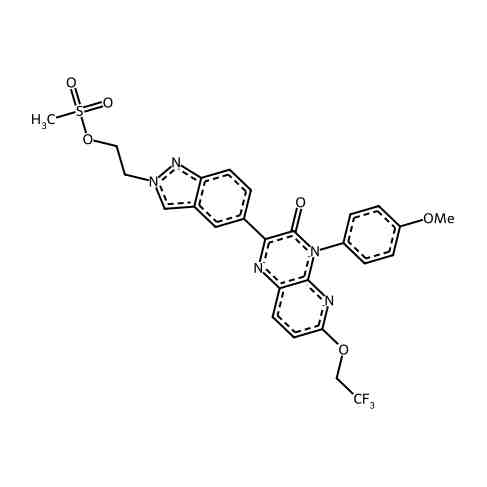 COc1ccc(-n2c(=O)c(-c3ccc4nn(CCOS(C)(=O)=O)cc4c3)nc3ccc(OCC(F)(F)F)nc32)cc1